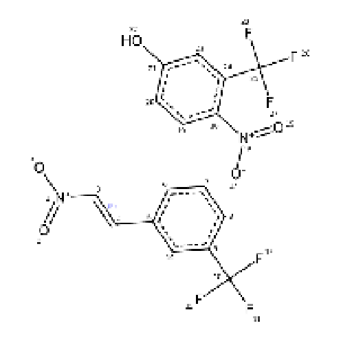 O=[N+]([O-])/C=C/c1cccc(C(F)(F)F)c1.O=[N+]([O-])c1ccc(O)cc1C(F)(F)F